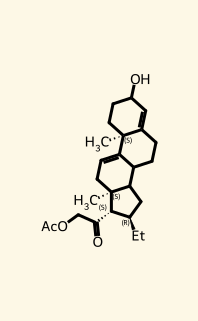 CC[C@@H]1CC2C3CCC4=CC(O)CC[C@]4(C)C3=CC[C@]2(C)[C@H]1C(=O)COC(C)=O